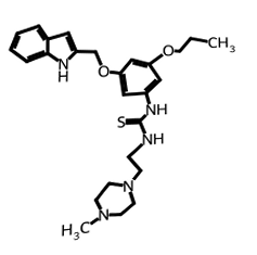 CCCOc1cc(NC(=S)NCCN2CCN(C)CC2)cc(OCc2cc3ccccc3[nH]2)c1